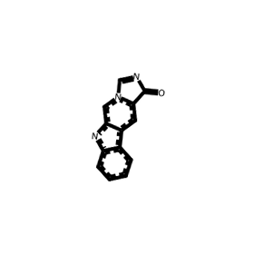 O=C1N=Cn2cc3nc4ccccc4c-3cc21